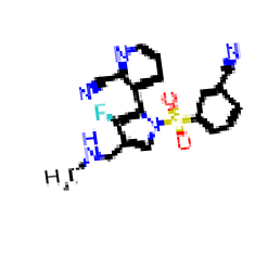 CNCc1cn(S(=O)(=O)c2cccc(C#N)c2)c(-c2cccnc2C#N)c1F